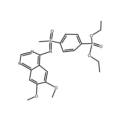 CCOP(=O)(OCC)c1ccc(S(C)(=O)=Nc2ncnc3cc(OC)c(OC)cc23)cc1